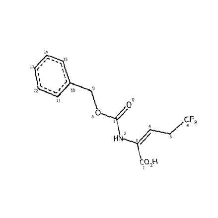 O=C(NC(=CCC(F)(F)F)C(=O)O)OCc1ccccc1